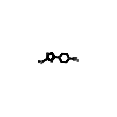 Cc1nc(N2CCN(C)CC2)cs1